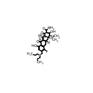 CCCN(CCC)Cc1cc(O)c2c(c1F)C[C@H]1C[C@H]3[C@H](N(C)C)C(O)=C(C(N)=O)C(=O)[C@@]3(O)C(O)=C1C2=O